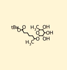 CC(CCCCC(=O)OC(C)(C)C)O[C@@H]1OC(C)[C@@H](O)C(O)[C@@H]1O